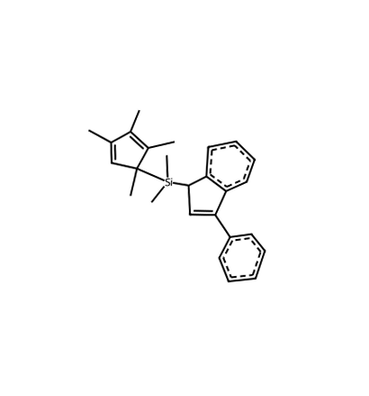 CC1=CC(C)([Si](C)(C)C2C=C(c3ccccc3)c3ccccc32)C(C)=C1C